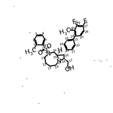 Cc1ccccc1S(=O)(=O)N1CCCCN2[C@H](CO)[C@@H](c3ccc(-c4ccc(F)c(F)c4C)cc3)[C@@H]2C1